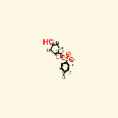 CCC1(COS(=O)(=O)c2ccc(C)cc2)CCC(O)CC1